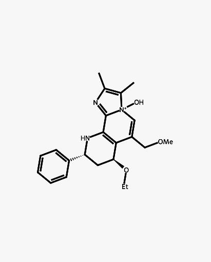 CCO[C@H]1C[C@H](c2ccccc2)NC2=C1C(COC)=C[N+]1(O)C2=NC(C)=C1C